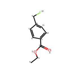 CCOC(=O)c1ccc(CF)cc1